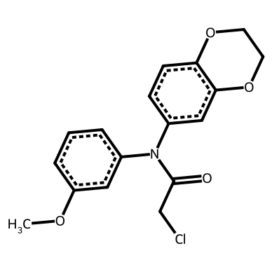 COc1cccc(N(C(=O)CCl)c2ccc3c(c2)OCCO3)c1